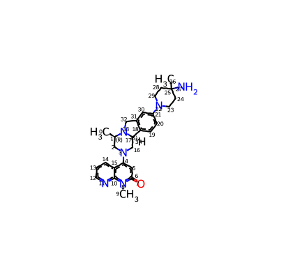 C[C@@H]1CN(c2cc(=O)n(C)c3ncccc23)C[C@@H]2c3ccc(N4CCC(C)(N)CC4)cc3CN12